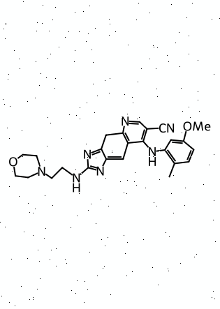 COc1ccc(C)c(Nc2c(C#N)cnc3c2C=C2N=C(NCCN4CCOCC4)N=C2C3)c1